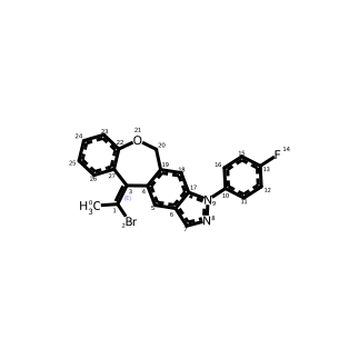 C/C(Br)=C1/c2cc3cnn(-c4ccc(F)cc4)c3cc2COc2ccccc21